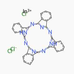 [Cl-].[Cl-].[Cl-].[In+3].c1ccc2c(c1)-c1nc-2nc2[nH]c(nc3nc(nc4[nH]c(n1)c1ccccc41)-c1ccccc1-3)c1ccccc21